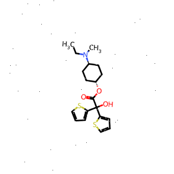 CCN(C)[C@H]1CC[C@H](OC(=O)C(O)(c2cccs2)c2cccs2)CC1